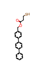 O=C(CCS)OCc1ccc(-c2ccc(-c3ccccc3)cc2)cc1